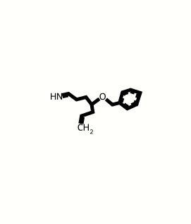 C=CCC(CCC=N)OCc1ccccc1